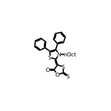 CCCCCCCCN1C(c2ccccc2)=C(c2ccccc2)S/C1=C1/SC(=S)OC1=O